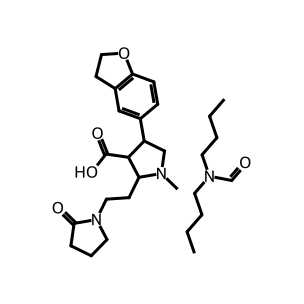 CCCCN(C=O)CCCC.CN1CC(c2ccc3c(c2)CCO3)C(C(=O)O)C1CCN1CCCC1=O